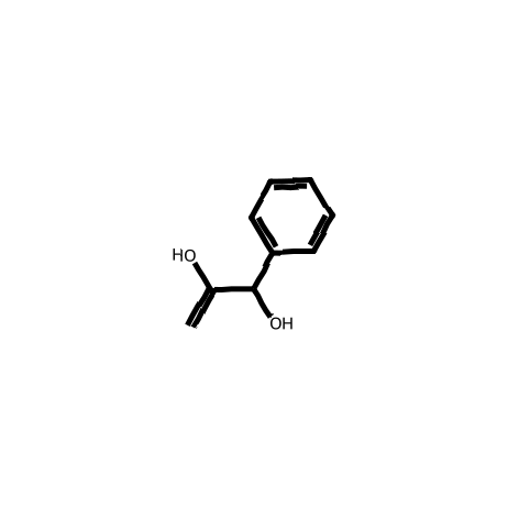 C=C(O)[C](O)c1ccccc1